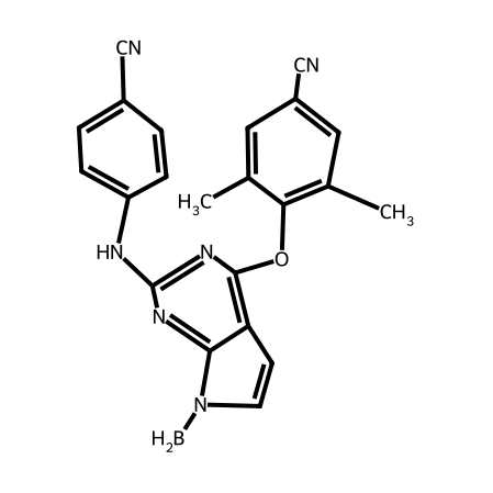 Bn1ccc2c(Oc3c(C)cc(C#N)cc3C)nc(Nc3ccc(C#N)cc3)nc21